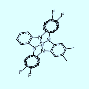 Cc1cc2c(cc1C)N(c1ccc(F)cc1)[Si]1(N(c3ccc(F)cc3)c3ccccc3N1c1ccc(F)cc1)N2c1ccc(F)cc1